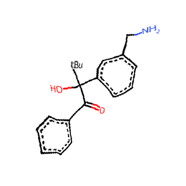 CC(C)(C)C(O)(C(=O)c1ccccc1)c1cccc(CN)c1